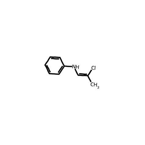 CC(Cl)=CNc1ccccc1